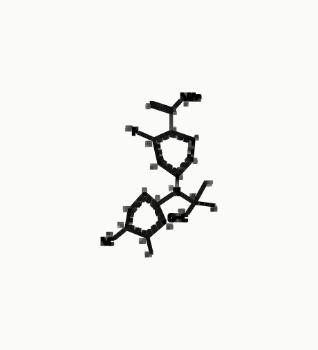 C=C(NC)c1ccc(N(c2ccc(C#N)c(C)c2)C(C)(C)C=O)cc1F